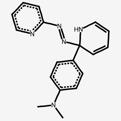 CN(C)c1ccc(C2(N=Nc3ccccn3)C=CC=CN2)cc1